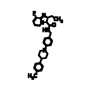 CCC1N=C2C(F)=CC=CN2C1C(=O)NCc1ccc(N2CCC(c3ccc(C)cc3)CC2)cc1